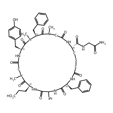 CC(C)C1NC(=O)[C@H](Cc2ccccc2)NC(=O)CSC[C@@H](C(=O)NCC(N)=O)NC(=O)CN(C)C(=O)[C@H](Cc2ccccc2)N(C)C(=O)[C@H](Cc2ccc(O)cc2)NC(=O)CN(C)C(=O)[C@H](CCC(=O)O)NC1=O